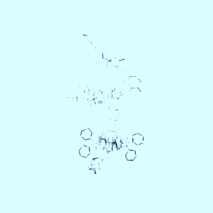 C=CCOC/C=C/[C@H]1CC(=C)[C@H](CC[C@H]2C[C@@H](C)C(=C)[C@@H](C[C@@H]3O[C@H](C[C@H]4CN(C(=O)OC(C)(C)C)C(C)(C)O4)[C@H](OC)[C@H]3CC(=O)CC3CCC4O[C@H]5[C@@H](O[Si](c6ccccc6)(c6ccccc6)C(C)(C)C)[C@@H](CC(C=C)O[Si](CC)(CC)CC)O[C@H]5[C@@H](O[Si](c5ccccc5)(c5ccccc5)C(C)(C)C)C4O3)O2)O1